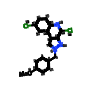 COc1ccc(Cn2cc3c(n2)c(Cl)nc2ccc(Cl)cc23)cc1